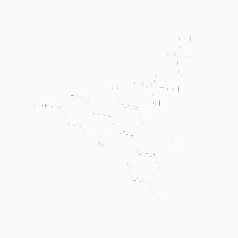 CC(C)(C)c1ccc(-c2ccc(O)c(-c3ccc(C(C)(C)C)cc3C(C)(C)C)c2O)c(C(C)(C)C)c1.O=P(O)(O)O.O=P(O)(O)O